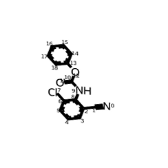 N#Cc1cccc(Cl)c1NC(=O)Oc1ccccc1